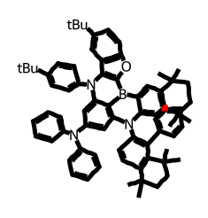 CC(C)(C)c1ccc(N2c3cc(N(c4ccccc4)c4ccccc4)cc4c3B(c3cc5c(cc3N4c3ccc4c(c3-c3ccccc3)C(C)(C)CCC4(C)C)C(C)(C)CCC5(C)C)c3oc4ccc(C(C)(C)C)cc4c32)cc1